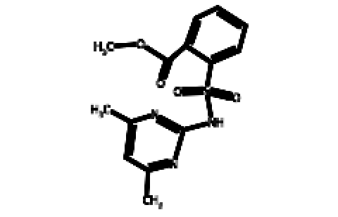 COC(=O)c1ccccc1S(=O)(=O)Nc1nc(C)cc(C)n1